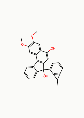 COc1cc2c(O)cc3c(c2cc1OC)-c1ccccc1C3(O)c1cccc2c1C2C